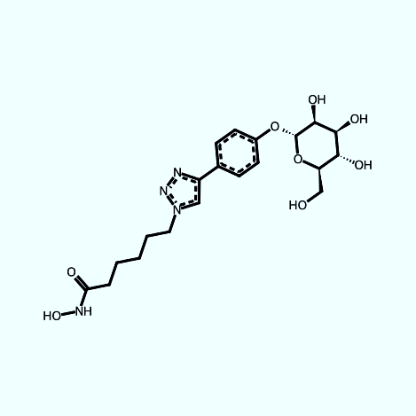 O=C(CCCCCn1cc(-c2ccc(O[C@H]3O[C@H](CO)[C@@H](O)[C@H](O)[C@@H]3O)cc2)nn1)NO